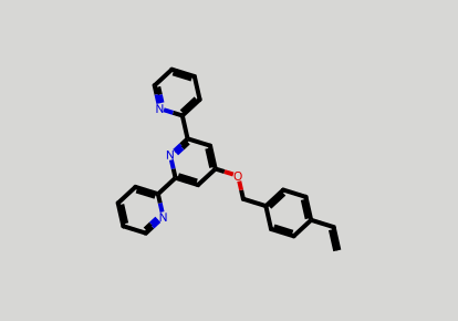 C=Cc1ccc(COc2cc(-c3ccccn3)nc(-c3ccccn3)c2)cc1